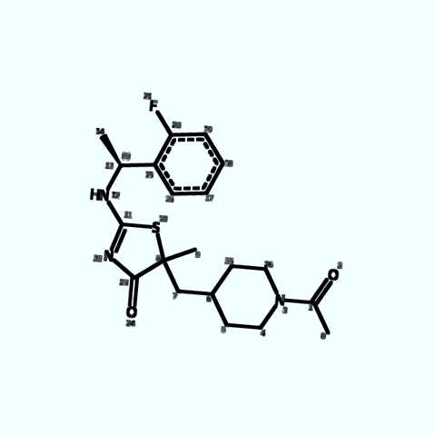 CC(=O)N1CCC(CC2(C)SC(N[C@@H](C)c3ccccc3F)=NC2=O)CC1